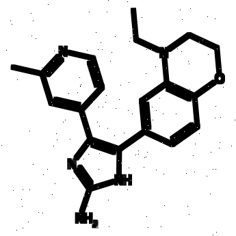 CCN1CCOc2ccc(-c3[nH]c(N)nc3-c3ccnc(C)c3)cc21